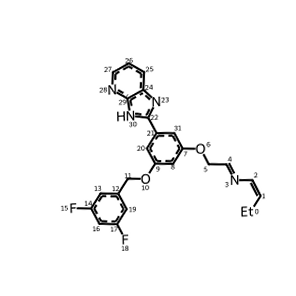 CC/C=C\N=C\COc1cc(OCc2cc(F)cc(F)c2)cc(-c2nc3cccnc3[nH]2)c1